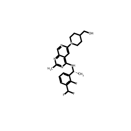 Cc1nc(N[C@H](C)c2cccc(C(F)F)c2F)c2cc(N3CCC(CO)CC3)ncc2n1